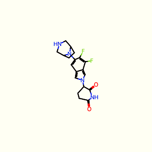 O=C1CCC(n2cc3cc(N4C5CCC4CNC5)c(F)c(F)c3c2)C(=O)N1